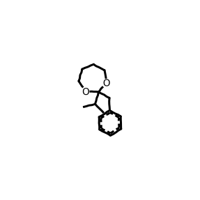 CC(C)C1(Cc2ccccc2)OCCCCO1